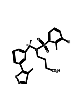 Cc1cnsc1-c1cccc([C@H](C)N(CCCC(=O)O)S(=O)(=O)c2cccc(Cl)c2C)c1